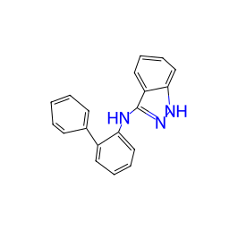 c1ccc(-c2ccccc2Nc2n[nH]c3ccccc23)cc1